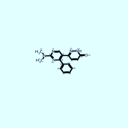 CN(C)c1ncc(-c2ccc(=O)[nH]n2)c(-c2ccccc2)n1